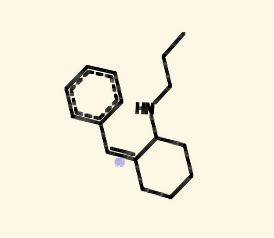 CCCNC1CCCC/C1=C/c1ccccc1